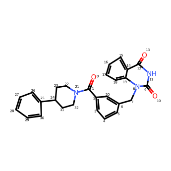 O=C(c1cccc(Cn2c(=O)[nH]c(=O)c3ccccc32)c1)N1CCC(c2ccccc2)CC1